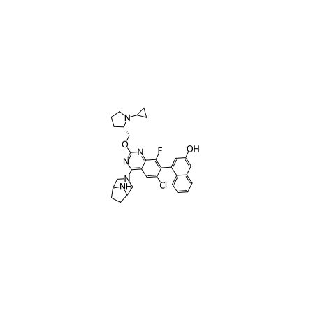 Oc1cc(-c2c(Cl)cc3c(N4CC5CCC(C4)N5)nc(OC[C@@H]4CCCN4C4CC4)nc3c2F)c2ccccc2c1